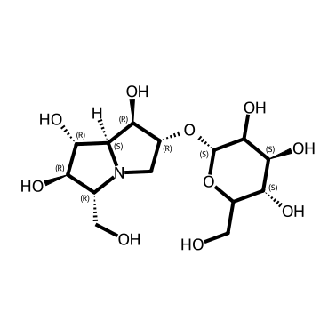 OCC1O[C@H](O[C@@H]2CN3[C@H]([C@H]2O)[C@@H](O)[C@H](O)[C@H]3CO)C(O)[C@@H](O)[C@@H]1O